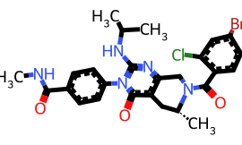 CNC(=O)c1ccc(-n2c(NC(C)C)nc3c(c2=O)C[C@@H](C)N(C(=O)c2ccc(Br)cc2Cl)C3)cc1